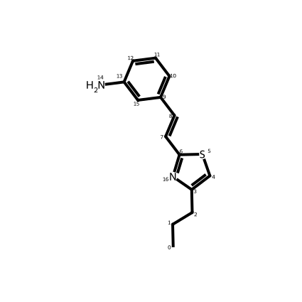 CCCc1csc(C=Cc2cccc(N)c2)n1